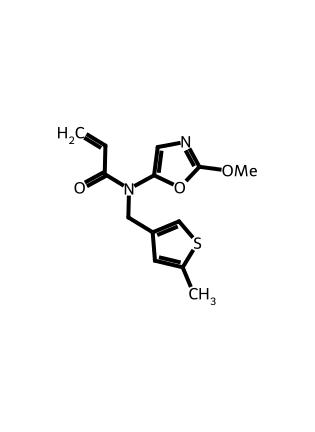 C=CC(=O)N(Cc1csc(C)c1)c1cnc(OC)o1